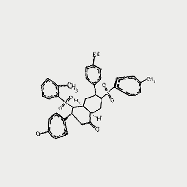 CCc1ccc([C@@H]2C[C@@H]3C(S(=O)(=O)c4ccccc4C)[C@H](c4ccc(Cl)cc4)CC(=O)[C@@H]3CC2S(=O)(=O)c2ccc(C)cc2)cc1